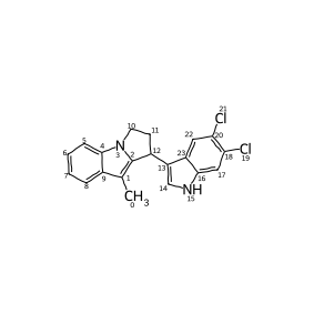 Cc1c2n(c3ccccc13)CCC2c1c[nH]c2cc(Cl)c(Cl)cc12